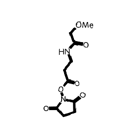 COCC(=O)NCCC(=O)ON1C(=O)CCC1=O